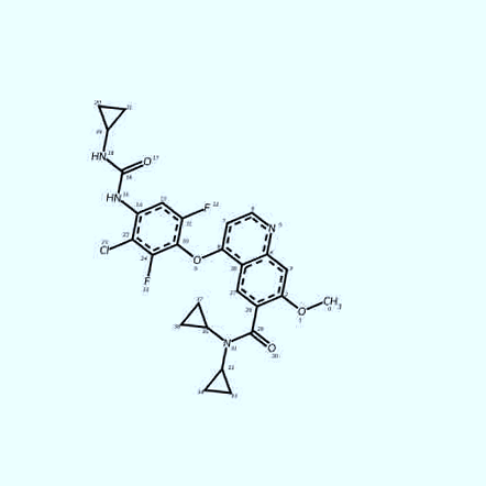 COc1cc2nccc(Oc3c(F)cc(NC(=O)NC4CC4)c(Cl)c3F)c2cc1C(=O)N(C1CC1)C1CC1